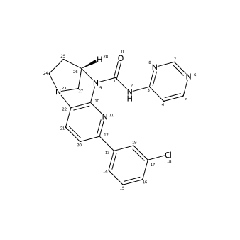 O=C(Nc1ccncn1)N1c2nc(-c3cccc(Cl)c3)ccc2N2CC[C@H]1C2